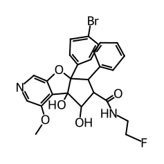 COc1cncc2c1C1(O)C(O)C(C(=O)NCCF)C(c3ccccc3)C1(c1ccc(Br)cc1)O2